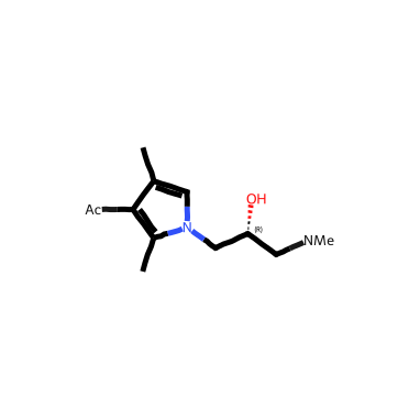 CNC[C@@H](O)Cn1cc(C)c(C(C)=O)c1C